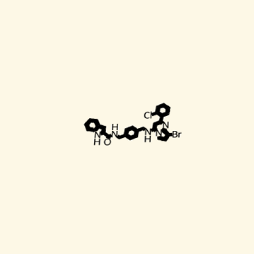 O=C(NCc1ccc(CNc2cc(-c3ccccc3Cl)nc3c(Br)ccn23)cc1)c1cc2ccccc2[nH]1